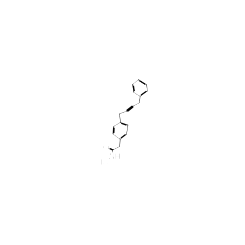 O=C(Cc1ccc(CC#CCc2ccccc2)cc1)NO